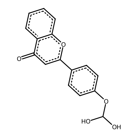 O=c1cc(-c2ccc(OC(O)O)cc2)oc2ccccc12